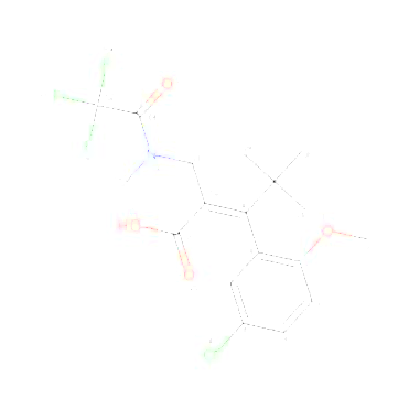 COc1ccc(Cl)cc1C(=C(CN(C)C(=O)C(F)(F)F)C(=O)O)C(C)(C)C